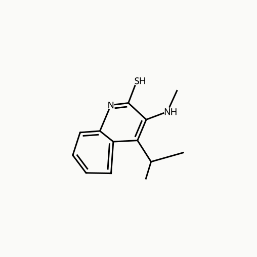 CNc1c(S)nc2ccccc2c1C(C)C